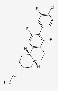 C/C=C/[C@@H]1CC[C@@H]2c3cc(F)c(-c4ccc(Cl)c(F)c4)c(F)c3CC[C@@H]2C1